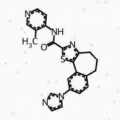 Cc1cnccc1NC(=O)c1nc2c(s1)-c1cc(-n3ccnc3)ccc1CCC2